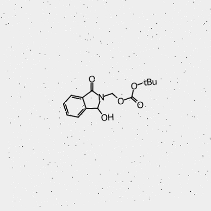 CC(C)(C)OC(=O)OCN1C(=O)c2ccccc2C1O